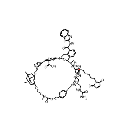 Cc1c2cnn1CC13CC4(C)CC(C)(C1)CC(C4)(C3)OCCN(C)C(=O)OCc1ccc(cc1)NC(=O)[C@H](CCCNC(N)=O)NC(=O)[C@@H](NC(=O)CCCCCN1C(=O)C=CC1=O)C(C)C1CN(Cc3c(C(=O)Nc4nc5ccccc5s4)cccc31)c1ccc-2c(C(=O)O)n1